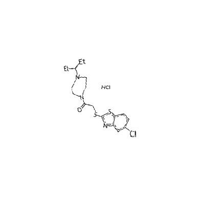 CCC(CC)N1CCN(C(=O)CSc2nc3cc(Cl)ccc3s2)CC1.Cl